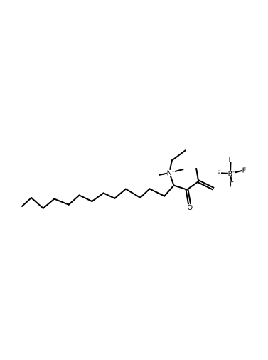 C=C(C)C(=O)C(CCCCCCCCCCCCC)[N+](C)(C)CC.F[B-](F)(F)F